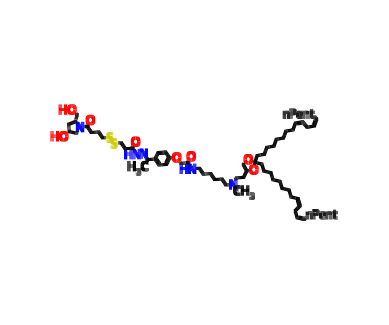 CCCCC/C=C\C/C=C\CCCCCCCCC1(CCCCCCCC/C=C\C/C=C\CCCCC)OCC(CCN(C)CCCCCCNC(=O)COc2ccc(/C(C)=N/NC(=O)CCSSCCCC(=O)N3C[C@H](O)C[C@H]3CO)cc2)O1